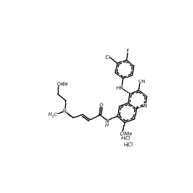 COCCN(C)CC=CC(=O)Nc1cc2c(Nc3ccc(F)c(Cl)c3)c(C#N)cnc2cc1OC.Cl.Cl